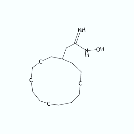 N=C(CC1CCCCCCCCCCCCC1)NO